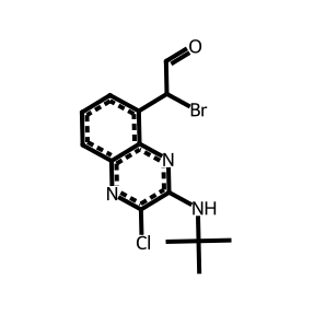 CC(C)(C)Nc1nc2c(C(Br)C=O)cccc2nc1Cl